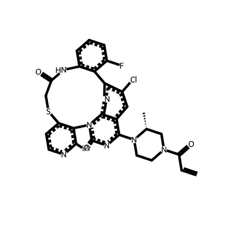 C=CC(=O)N1CCN(c2nc(=O)n3c4nc(c(Cl)cc24)-c2c(F)cccc2NC(=O)CSc2ccnc(C(C)C)c2-3)[C@H](C)C1